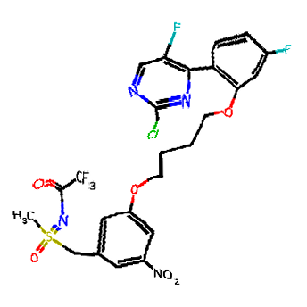 CS(=O)(Cc1cc(OCCCCOc2cc(F)ccc2-c2nc(Cl)ncc2F)cc([N+](=O)[O-])c1)=NC(=O)C(F)(F)F